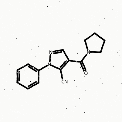 N#Cc1c(C(=O)N2CCCC2)cnn1-c1ccccc1